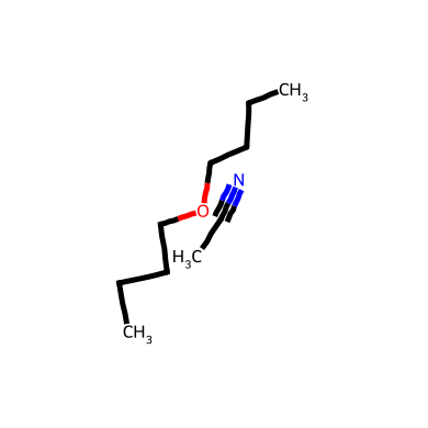 CC#N.CCCCOCCCC